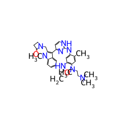 C=CC(=O)Nc1cc(Nc2nccc(-c3c(CN4CCC4=O)n(C)c4ccccc34)n2)c(C)cc1N(C)CCN(C)C